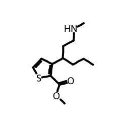 CCCC(CCNC)c1ccsc1C(=O)OC